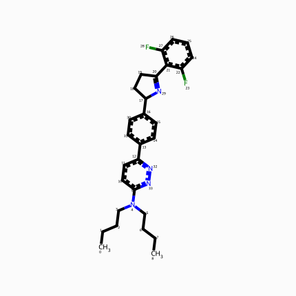 CCCCN(CCCC)c1ccc(-c2ccc(C3CCC(c4c(F)cccc4F)=N3)cc2)nn1